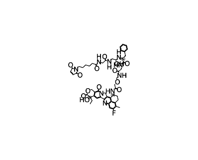 CC[C@@]1(O)C(=O)OCc2c1cc1n(c2=O)Cc2c-1nc1cc(F)c(C)c3c1c2[C@@H](NC(=O)COCNC(=O)CNC(=O)[C@H](Cc1ccccc1)NC(O)CNC(=O)CNC(=O)CCCCCN1C(=O)C=CC1=O)CC3